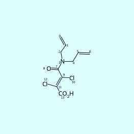 C=CCN(CC=C)C(=O)C(Cl)=C(Cl)C(=O)O